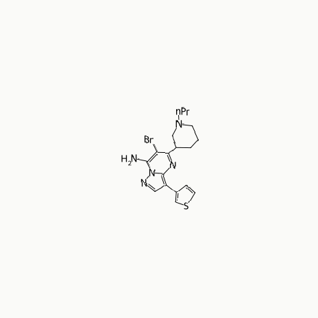 CCCN1CCCC(c2nc3c(-c4ccsc4)cnn3c(N)c2Br)C1